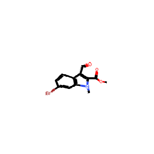 COC(=O)c1c(C=O)c2ccc(Br)cc2n1C